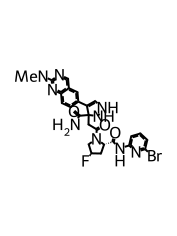 CNc1ncc2cc(C3=CNNC3(CC(=O)N3C[C@H](F)C[C@H]3C(=O)Nc3cccc(Br)n3)C(N)=O)ccc2n1